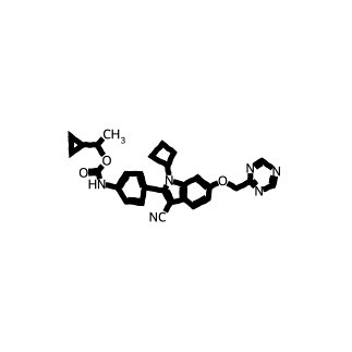 CC(OC(=O)Nc1ccc(-c2c(C#N)c3ccc(OCc4ncncn4)cc3n2C2CCC2)cc1)C1CC1